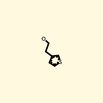 [O]CCc1ccsc1